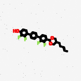 C/C=C/CCC1COC(c2ccc(-c3ccc(-c4ccc(O)c(F)c4F)cc3)c(F)c2F)OC1